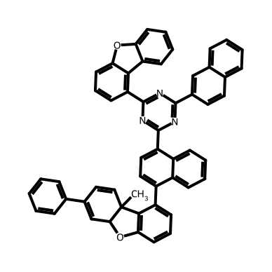 CC12C=CC(c3ccccc3)=CC1Oc1cccc(-c3ccc(-c4nc(-c5ccc6ccccc6c5)nc(-c5cccc6oc7ccccc7c56)n4)c4ccccc34)c12